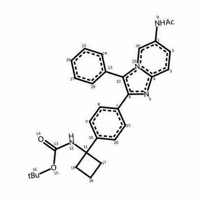 CC(=O)Nc1ccc2nc(-c3ccc(C4(NC(=O)OC(C)(C)C)CCC4)cc3)c(-c3ccccc3)n2c1